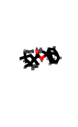 CCCCCC(C)(C)CC(C)(C(=O)OC1(CC)C2CC3CC(C2)CC1C3)C(C)(C)CCCC